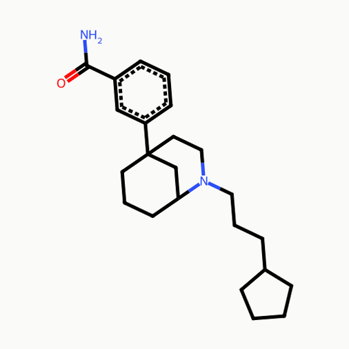 NC(=O)c1cccc(C23CCCC(C2)N(CCCC2CCCC2)CC3)c1